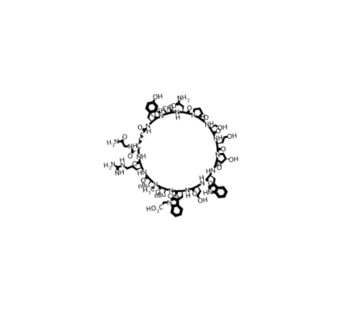 CCCC[C@H]1C(=O)N(C)[C@@H](CCCC)C(=O)N[C@@H](CCCNC(=N)N)C(=O)N[C@H](C(=O)NCC(N)=O)CSCC(=O)N[C@@H](Cc2ccc(O)cc2)C(=O)N(C)[C@@H](C)C(=O)N[C@@H](CC(N)=O)C(=O)N2CCC[C@H]2C(=O)N[C@@H](CO)C(=O)N[C@@H](CCO)C(=O)N2C[C@H](O)C[C@H]2C(=O)N[C@@H](Cc2c[nH]c3ccccc23)C(=O)N[C@@H](CCO)C(=O)N[C@@H](Cc2cn(CC(=O)O)c3ccccc23)C(=O)N1C